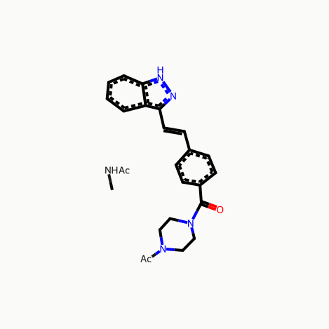 CC(=O)N1CCN(C(=O)c2ccc(C=Cc3n[nH]c4ccccc34)cc2)CC1.CNC(C)=O